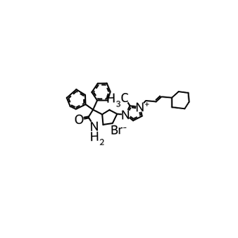 Cc1n(C2CCC(C(C(N)=O)(c3ccccc3)c3ccccc3)C2)cc[n+]1CC=CC1CCCCC1.[Br-]